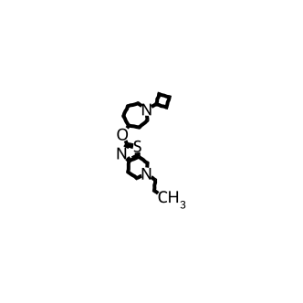 CCCN1CCc2nc(OC3CCCN(C4CCC4)CC3)sc2C1